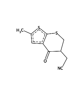 Cc1cc2c(s1)SCC(CC#N)C2=O